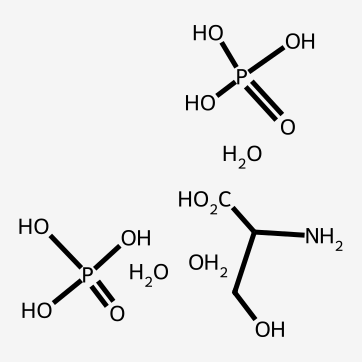 NC(CO)C(=O)O.O.O.O.O=P(O)(O)O.O=P(O)(O)O